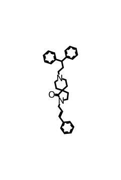 O=C1N(CC=Cc2ccccc2)CCC12CCN(CCC(c1ccccc1)c1ccccc1)CC2